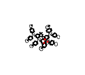 COc1ccc(N(c2ccc(OC)cc2)c2cc(N(c3ccc(OC)cc3)c3ccc(OC)cc3)cc(C3(C)CC(C)(C)c4cc(N(c5ccc(OC)cc5)c5ccc(OC)cc5)cc(N(c5ccc(OC)cc5)c5ccc(OC)cc5)c43)c2)cc1